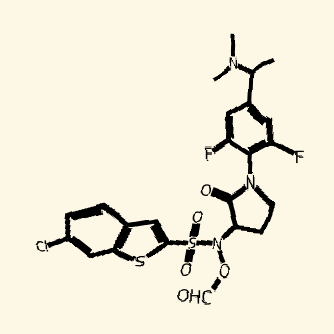 CC(c1cc(F)c(N2CCC(N(OC=O)S(=O)(=O)c3cc4ccc(Cl)cc4s3)C2=O)c(F)c1)N(C)C